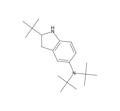 CC(C)(C)C1Cc2cc(N(C(C)(C)C)C(C)(C)C)ccc2N1